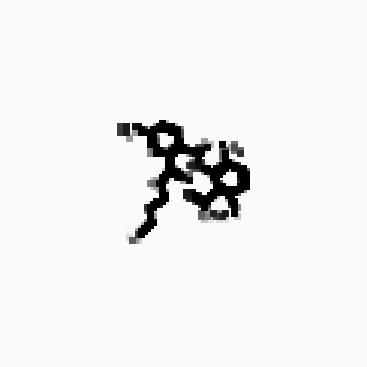 COC(=O)c1c(Cl)ccc(C)c1NC(=O)c1ccc(C)nc1C(=O)NCCCCl